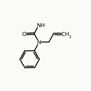 C=CCN(C([NH])=O)c1ccccc1